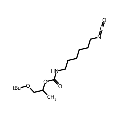 CC(COC(C)(C)C)OC(=O)NCCCCCCN=C=O